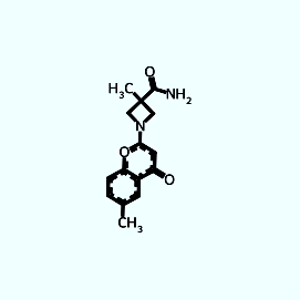 Cc1ccc2oc(N3CC(C)(C(N)=O)C3)cc(=O)c2c1